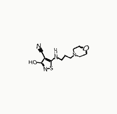 N#Cc1c(O)nsc1NCCCN1CCOCC1